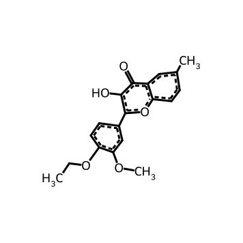 CCOc1ccc(-c2oc3ccc(C)cc3c(=O)c2O)cc1OC